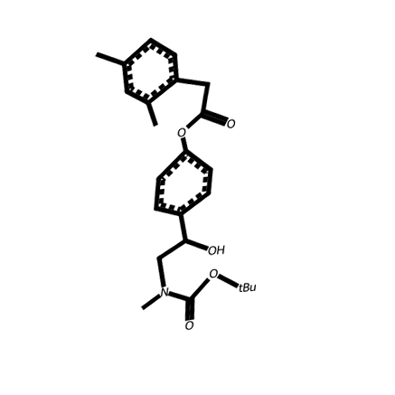 Cc1ccc(CC(=O)Oc2ccc(C(O)CN(C)C(=O)OC(C)(C)C)cc2)c(C)c1